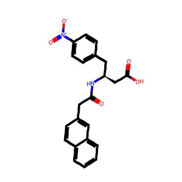 O=C(O)C[C@H](Cc1ccc([N+](=O)[O-])cc1)NC(=O)Cc1ccc2ccccc2c1